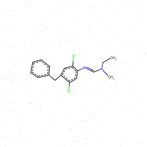 CCN(C)C=Nc1cc(Cl)c(Cc2ccccc2)cc1Cl